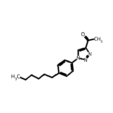 CCCCCCc1ccc(-n2cc(C(C)=O)nn2)cc1